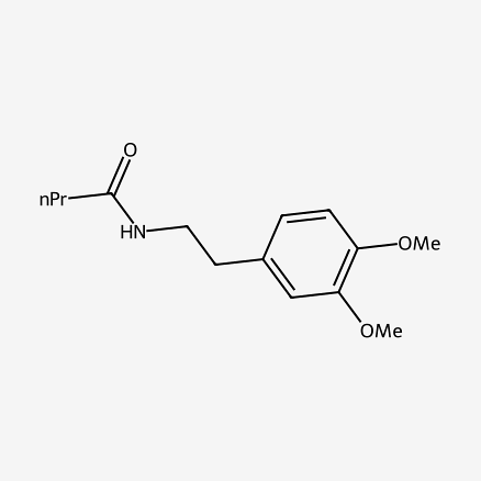 CCCC(=O)NCCc1ccc(OC)c(OC)c1